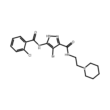 O=C(Nc1[nH]nc(C(=O)NCCN2CCCCC2)c1Br)c1ccccc1Cl